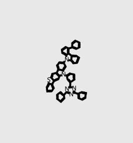 c1ccc(-c2nc(-c3ccccc3)nc(-c3cccc(-n4c5cc(-n6c7ccccc7c7c(-c8ccccc8)cccc76)ccc5c5cc6sc7ccccc7c6cc54)c3)n2)cc1